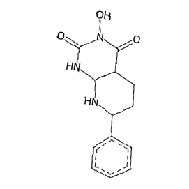 O=C1NC2NC(c3ccccc3)CCC2C(=O)N1O